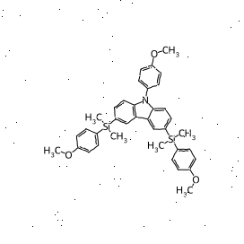 COc1ccc(-n2c3ccc([Si](C)(C)c4ccc(OC)cc4)cc3c3cc([Si](C)(C)c4ccc(OC)cc4)ccc32)cc1